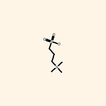 C[Si](C)(C)CCCS(=O)(=O)Cl